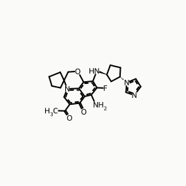 CC(=O)c1cn2c3c(c(N[C@H]4CC[C@H](n5ccnc5)C4)c(F)c(N)c3c1=O)OCC21CCCC1